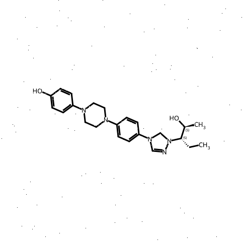 CC[C@@H]([C@H](C)O)N1CN(c2ccc(N3CCN(c4ccc(O)cc4)CC3)cc2)C=N1